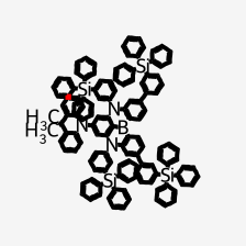 CC1(C)c2ccccc2N(c2cc3c4c(c2)N(c2cccc([Si](c5ccccc5)(c5ccccc5)c5ccccc5)c2)c2cc(-c5cccc([Si](c6ccccc6)(c6ccccc6)c6ccccc6)c5)ccc2B4c2ccc(-c4cccc([Si](c5ccccc5)(c5ccccc5)c5ccccc5)c4)cc2N3c2cccc([Si](c3ccccc3)(c3ccccc3)c3ccccc3)c2)c2ccccc21